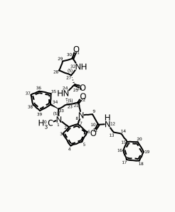 CN1c2ccccc2N(CC(=O)NCCc2ccccc2)C(=O)[C@@H](NC(=O)[C@@H]2CCC(=O)N2)[C@@H]1c1ccccc1